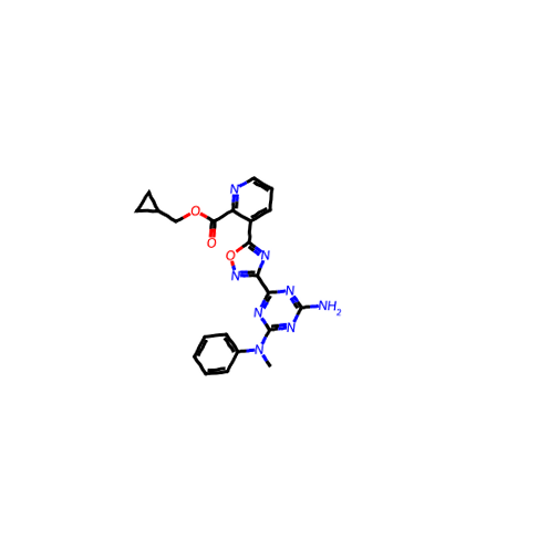 CN(c1ccccc1)c1nc(N)nc(-c2noc(-c3cccnc3C(=O)OCC3CC3)n2)n1